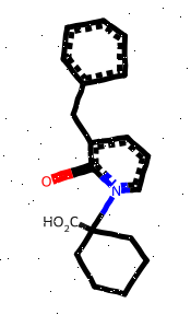 O=C(O)C1(n2cccc(Cc3ccccc3)c2=O)CCCCC1